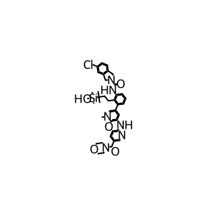 Cn1cc(-c2cccc(NC(=O)N3Cc4ccc(Cl)cc4C3)c2CCC(C)(C)[Si](C)(C)O)cc(Nc2ccc(C(=O)N3CCOCC3)cn2)c1=O